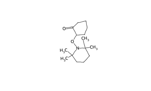 CC1(C)CCCC(C)(C)N1OC1CCCCC1=O